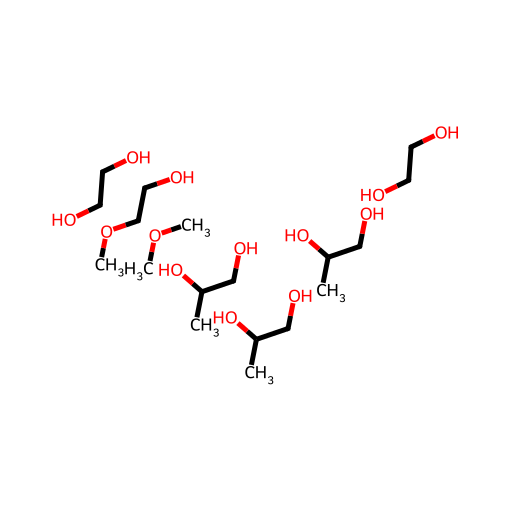 CC(O)CO.CC(O)CO.CC(O)CO.COC.COCCO.OCCO.OCCO